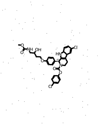 COC(=O)NCC(O)CCOc1ccc([C@H]2C3=C(CCN2C(=O)Oc2ccc(Cl)cc2)C2C=C(Cl)C=CC2N3)cc1